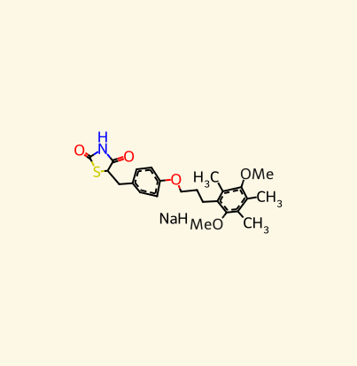 COc1c(C)c(C)c(OC)c(CCCOc2ccc(CC3SC(=O)NC3=O)cc2)c1C.[NaH]